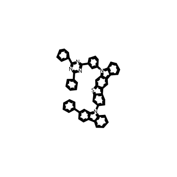 c1ccc(-c2ccc3c4ccccc4n(-c4ccc5c(c4)sc4cc6c(cc45)c4ccccc4n6-c4cccc(-c5nc(-c6ccccc6)nc(-c6ccccc6)n5)c4)c3c2)cc1